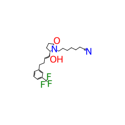 N#CCCCCCCN1C(=O)CC[C@@H]1C(O)=CCCc1cccc(C(F)(F)F)c1